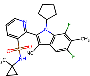 Cc1c(F)cc2c(C#N)c(-c3ncccc3S(=O)(=O)NC3(C(F)(F)F)CC3)n(C3CCCC3)c2c1F